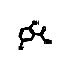 CCCCC(=O)c1cc(Br)ccc1O